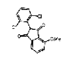 COc1cccc2c1C(=O)C(c1c(Cl)cccc1Cl)C2=O